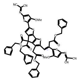 COc1cc(N=C(C#N)C#N)sc1/C(=C/c1sc2c(c1CC(=O)OCc1ccccc1)C(C(=O)OCc1ccccc1)(C(=O)OCc1ccccc1)c1cc(-c3sc(N=C(C#N)C#N)cc3OC)sc1-2)CC(=O)OCc1ccccc1